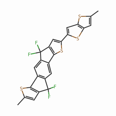 Cc1cc2c(s1)-c1cc3c(cc1C2(F)F)-c1sc(-c2cc4sc(C)cc4s2)cc1C3(F)F